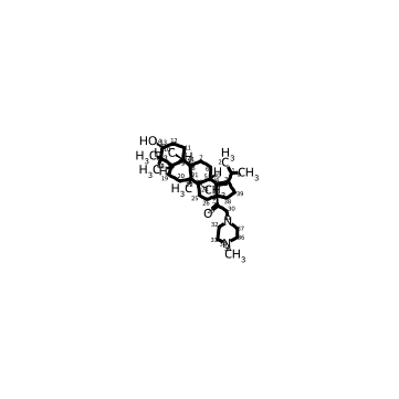 CC(C)C1=C2[C@H]3CC[C@@H]4[C@@]5(C)CC[C@H](O)C(C)(C)[C@H]5CC[C@@]4(C)[C@]3(C)CC[C@@]2(C(=O)CN2CCN(C)CC2)CC1